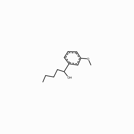 CCCCC(O)c1cccc(OC)c1